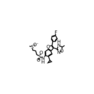 CC1NC(c2c(-c3ccc(F)cc3)oc3cc(NS(=O)(=O)CCC[S+](C)[O-])c(C4CC4)cc23)=NO1